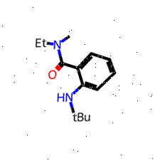 CCN(C)C(=O)c1ccccc1NC(C)(C)C